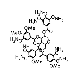 C=C(OCC1OCC(OC(=O)c2cc(ON)c(ON)c(ON)c2)C(OC(=O)c2cc(OC)c(OC)c(ON)c2)C1OC(=O)c1cc(OC)c(ON)c(ON)c1)c1cc(OC)c(ON)c(ON)c1